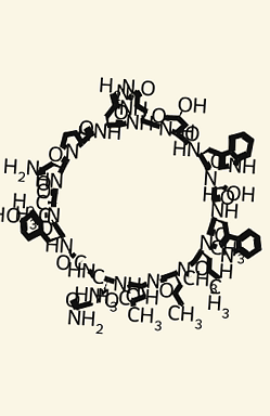 CCCC[C@H]1C(=O)N(C)[C@@H](CCCC)C(=O)N[C@@H](CC(C)C)C(=O)N[C@H](C(=O)NCC(N)=O)CNCC(=O)N[C@@H](Cc2ccc(O)cc2)C(=O)N(C)[C@@H](C)C(=O)N[C@@H](CC(N)=O)C(=O)N2CCC[C@H]2C(=O)N[C@@H](Cc2cnc[nH]2)C(=O)N[C@@H](CCC(N)=O)C(=O)N2C[C@H](O)C[C@H]2C(=O)N[C@@H](Cc2c[nH]c3ccccc23)C(=O)N[C@@H](CO)C(=O)N[C@@H](Cc2c[nH]c3ccccc23)C(=O)N1C